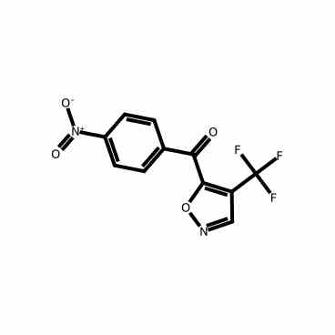 O=C(c1ccc([N+](=O)[O-])cc1)c1oncc1C(F)(F)F